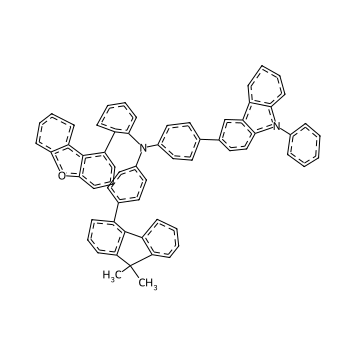 CC1(C)c2ccccc2-c2c(-c3ccc(N(c4ccc(-c5ccc6c(c5)c5ccccc5n6-c5ccccc5)cc4)c4ccccc4-c4cccc5oc6ccccc6c45)cc3)cccc21